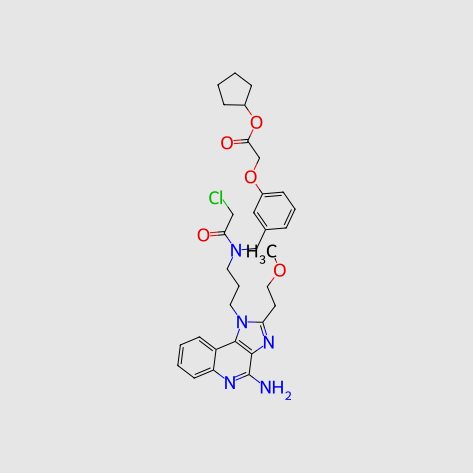 COCCc1nc2c(N)nc3ccccc3c2n1CCCN(Cc1cccc(OCC(=O)OC2CCCC2)c1)C(=O)CCl